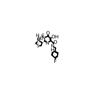 CC(=O)N1CSC[C@H]1c1nc(C(=O)NCc2ccc(F)cc2)c(O)c(=O)n1C